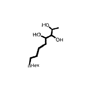 CCCCCCCCCCC(O)C(O)C(C)O